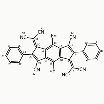 N#CC(C#N)=C1C(c2ccccc2)=C(C#N)c2c(F)c3c(c(F)c21)C(C#N)=C(c1ccccc1)C3=C(C#N)C#N